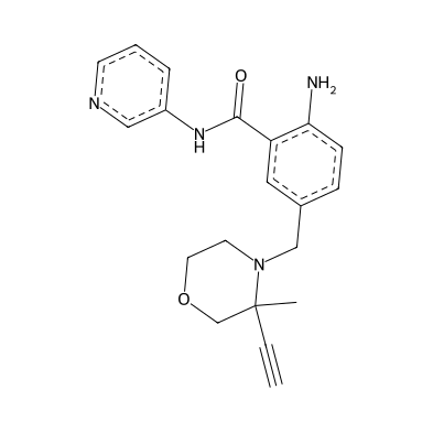 C#CC1(C)COCCN1Cc1ccc(N)c(C(=O)Nc2cccnc2)c1